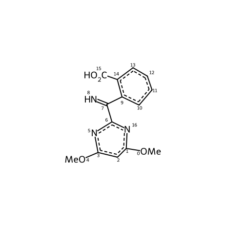 COc1cc(OC)nc(C(=N)c2ccccc2C(=O)O)n1